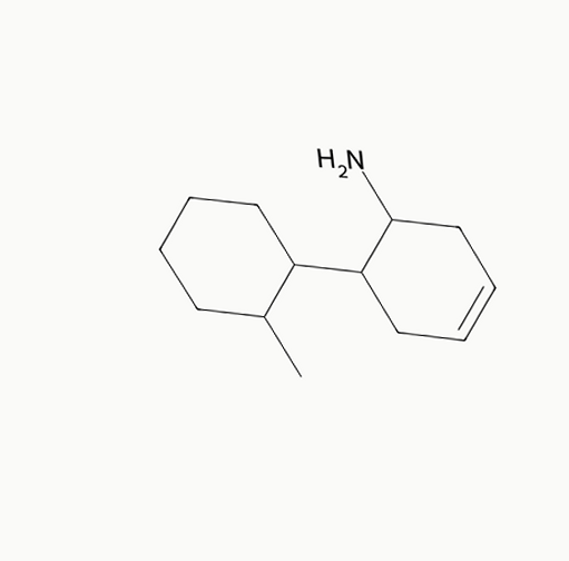 CC1CCCCC1C1CC=CCC1N